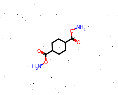 NOC(=O)C1CCC(C(=O)ON)CC1